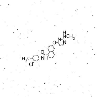 CNc1nccc(Oc2ccc3c(C(=O)Nc4ccc(C)c(Cl)c4)cccc3c2)n1